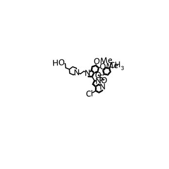 COc1cc2c(-c3cc4c(Cl)ccnc4n3S(=O)(=O)c3ccc(C)cc3)cn(CCN3CCC(CCO)CC3)c2cc1OC